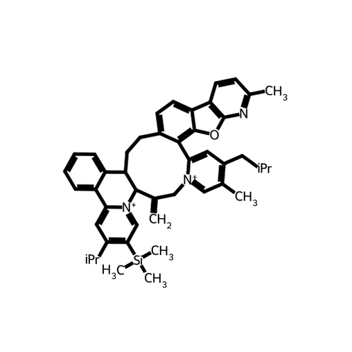 C=C1C[n+]2cc(C)c(CC(C)C)cc2-c2c(ccc3c2oc2nc(C)ccc23)CCC2c3ccccc3-c3cc(C(C)C)c([Si](C)(C)C)c[n+]3C12